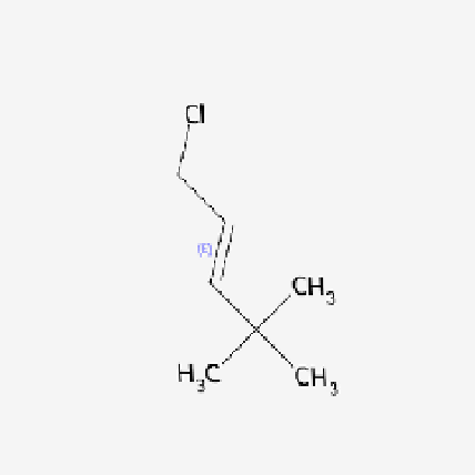 CC(C)(C)/C=C/CCl